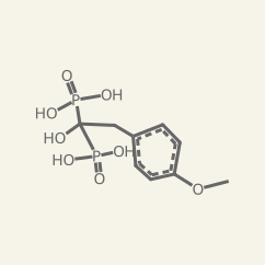 COc1ccc(CC(O)(P(=O)(O)O)P(=O)(O)O)cc1